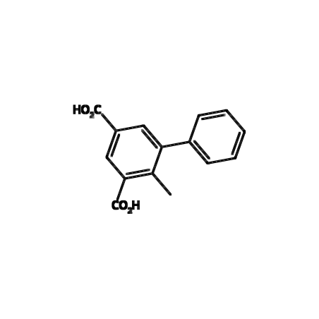 Cc1c(C(=O)O)cc(C(=O)O)cc1-c1ccccc1